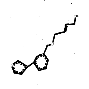 OC/C=C/COCc1cccc(-c2ccsc2)c1